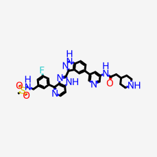 CS(=O)(=O)NCc1cc(F)cc(-c2nccc3[nH]c(-c4n[nH]c5ccc(-c6cncc(NC(=O)CC7CCNCC7)c6)cc45)nc23)c1